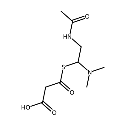 CC(=O)NCC(SC(=O)CC(=O)O)N(C)C